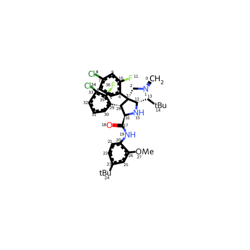 C=NC[C@]1(c2ccc(Cl)cc2F)[C@H](CC(C)(C)C)N[C@@H](C(=O)Nc2ccc(C(C)(C)C)cc2OC)[C@@H]1c1cccc(Cl)c1F